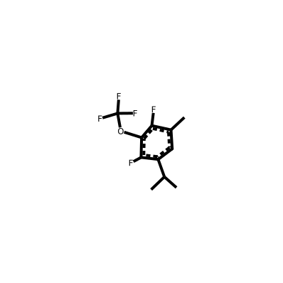 Cc1cc(C(C)C)c(F)c(OC(F)(F)F)c1F